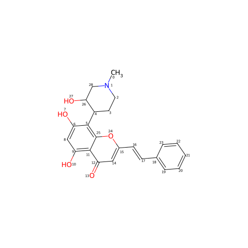 CN1CCC(c2c(O)cc(O)c3c(=O)cc(C=Cc4ccccc4)oc23)C(O)C1